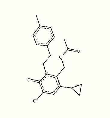 CC(=O)OCc1c(C2CC2)cc(Cl)c(=O)n1CCc1ccc(C)cc1